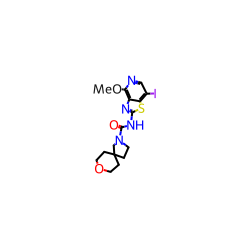 COc1ncc(I)c2sc(NC(=O)N3CCC4(CCOCC4)C3)nc12